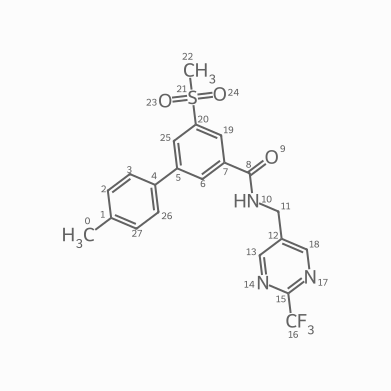 Cc1ccc(-c2cc(C(=O)NCc3cnc(C(F)(F)F)nc3)cc(S(C)(=O)=O)c2)cc1